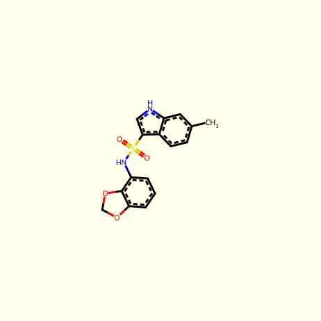 Cc1ccc2c(S(=O)(=O)Nc3cccc4c3OCO4)c[nH]c2c1